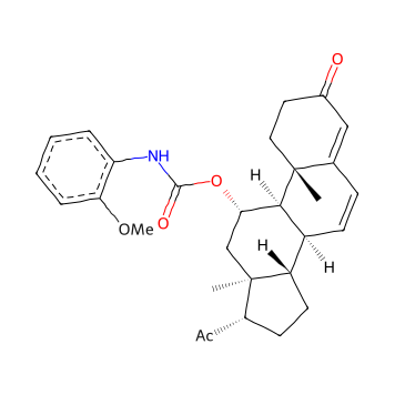 COc1ccccc1NC(=O)O[C@H]1C[C@]2(C)[C@@H](C(C)=O)CC[C@H]2[C@@H]2C=CC3=CC(=O)CC[C@@]3(C)[C@@H]21